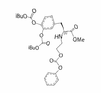 COC(=O)[C@H](Cc1ccc(OC(=O)OCC(C)C)c(OC(=O)OCC(C)C)c1)NCCOC(=O)Oc1ccccc1